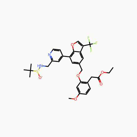 CCOC(=O)Cc1ccc(OC)cc1OCc1cc(-c2ccnc(CN[S+]([O-])C(C)(C)C)c2)c2occ(C(F)(F)F)c2c1